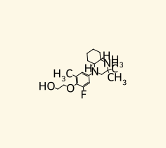 Cc1cc(N2CC(C)(C)N[C@H]3CCCC[C@@H]32)cc(F)c1OCCO